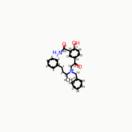 CC(CCc1ccccc1)N(CC(=O)c1ccc(O)c(C(N)=O)c1)Cc1ccccc1